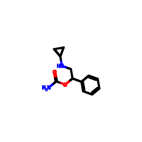 NC(=O)OC(CNC1CC1)c1ccccc1